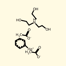 CC(=O)[O-].CC(=O)[O-].OCC[NH+](CCO)CCO.[Hg+][c]1ccccc1